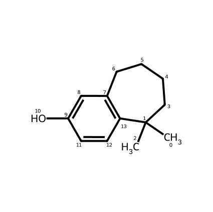 CC1(C)CCCCc2cc(O)ccc21